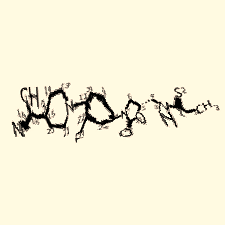 CC(=S)NC[C@H]1CN(c2ccc(N3CCC(=C(C)C#N)CC3)c(F)c2)C(=O)O1